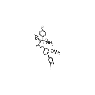 C=C(/C=C/c1ccc(-n2cnc(C)c2)c(OC)c1)N(CC)C(C)(ON)c1ccc(F)cc1